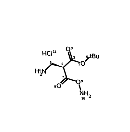 CC(C)(C)OC(=O)[C@H](CN)C(=O)ON.Cl